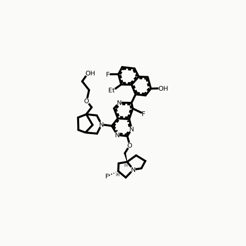 CCc1c(F)ccc2cc(O)cc(-c3ncc4c(N5CC6CCC(COCCO)(C6)C5)nc(OC[C@@]56CCCN5C[C@H](F)C6)nc4c3F)c12